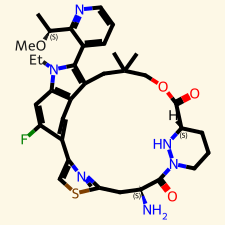 CCn1c(-c2cccnc2[C@H](C)OC)c2c3cc(c(F)cc31)-c1csc(n1)C[C@H](N)C(=O)N1CCC[C@H](N1)C(=O)OCC(C)(C)C2